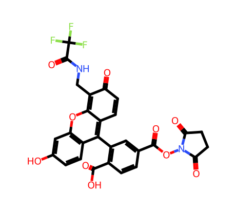 O=C(ON1C(=O)CCC1=O)c1ccc(C(=O)O)c(-c2c3ccc(=O)c(CNC(=O)C(F)(F)F)c-3oc3cc(O)ccc23)c1